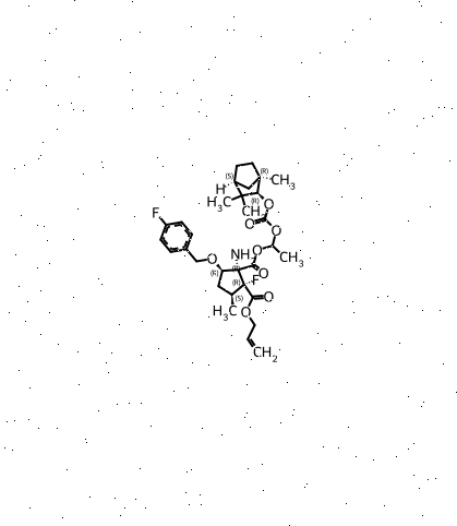 C=CCOC(=O)[C@@]1(F)[C@@H](C)C[C@@H](OCc2ccc(F)cc2)[C@@]1(N)C(=O)OC(C)OC(=O)O[C@H]1C(C)(C)[C@H]2CC[C@]1(C)C2